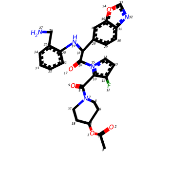 CC(=O)OC1CCN(C(=O)c2c(F)ccn2C(=O)C(Nc2ccccc2CN)c2ccc3ncoc3c2)CC1